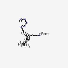 CC/C=C\C/C=C\C/C=C\C/C=C\C/C=C\CCCC(=O)OC[C@H](COP(=O)([O-])OCC[N+](C)(C)C)OC(=O)CCCCCCC/C=C\CCCCC